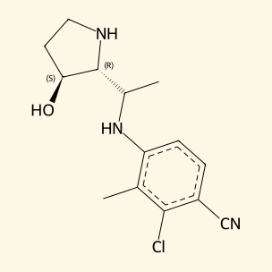 Cc1c(NC(C)[C@H]2NCC[C@@H]2O)ccc(C#N)c1Cl